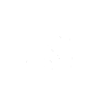 CC(C)CN(C(=O)Oc1ccc(F)cc1)[C@@H]1CN(C(=O)C2CCN(C(=O)C3(C)CC3)CC2)C[C@H]1c1ccc(Cl)c(Cl)c1